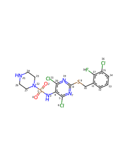 O=S(=O)(Nc1c(Cl)nc(SCc2cccc(Cl)c2F)nc1Cl)N1CCNCC1